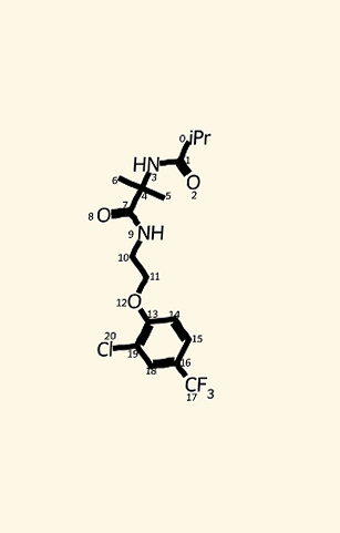 CC(C)C(=O)NC(C)(C)C(=O)NCCOc1ccc(C(F)(F)F)cc1Cl